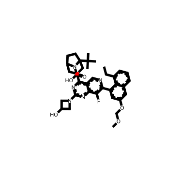 CCc1cccc2cc(OCOC)cc(-c3ncc4c(N5CC6CCC(C(C)(C)C)(C5)N6C(=O)O)nc(N5CC(O)C5)nc4c3F)c12